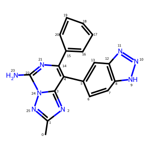 Cc1nc2c(-c3ccc4[nH]nnc4c3)c(-c3ccccc3)nc(N)n2n1